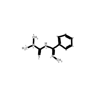 C/N=C(/NC(=S)N(C)C)c1ccccc1